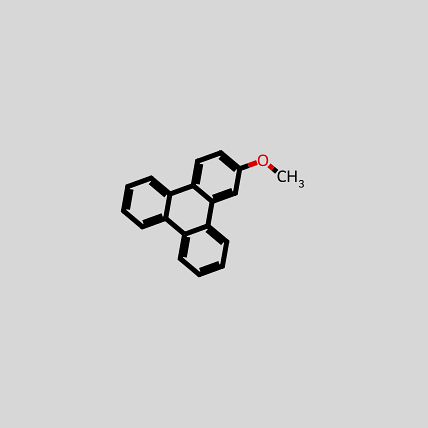 COc1ccc2c3ccccc3c3ccccc3c2c1